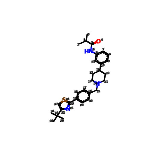 CC(C)C(=O)Nc1cccc(C2CCN(Cc3ccc(-c4nc(C(C)(C)C)cs4)cc3)CC2)c1